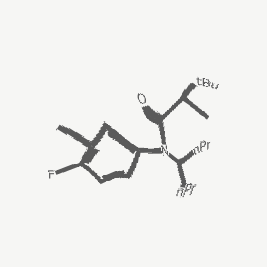 CCCC(CCC)N(C(=O)C(C)C(C)(C)C)c1ccc(F)c(C)c1